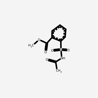 COC(=O)c1ccccc1S(=O)(=O)NC(C)=O